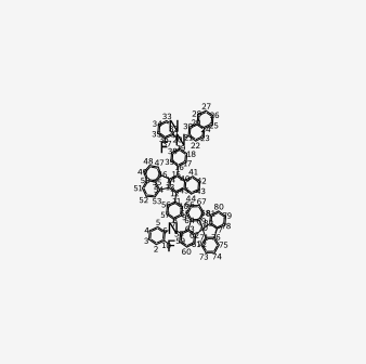 Fc1ccccc1N(c1ccc(-c2c3c(c(-c4ccc(N(c5ccc6ccccc6c5)c5ncccc5F)cc4)c4ccccc24)-c2cccc4cccc-3c24)cc1)c1cccc2c1-c1ccccc1C21c2ccccc2-c2ccccc21